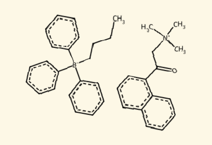 CCCC[B-](c1ccccc1)(c1ccccc1)c1ccccc1.C[N+](C)(C)CC(=O)c1cccc2ccccc12